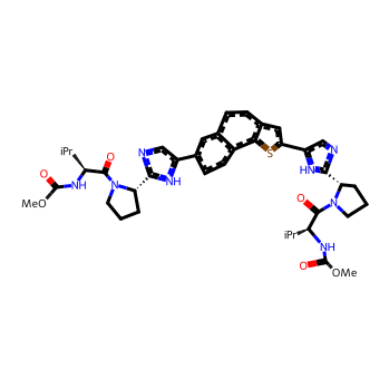 COC(=O)N[C@H](C(=O)N1CCC[C@H]1c1ncc(-c2ccc3c(ccc4cc(-c5cnc([C@@H]6CCCN6C(=O)[C@@H](NC(=O)OC)C(C)C)[nH]5)sc43)c2)[nH]1)C(C)C